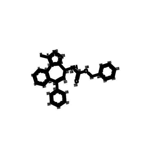 Cc1nnc2n1-c1ccccc1C(c1ccccc1)=NC2NC(=O)OCc1ccccc1